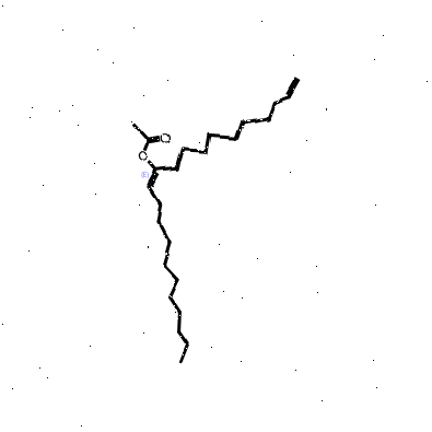 C=CCCCCCCCC/C(=C\CCCCCCCCCC)OC(C)=O